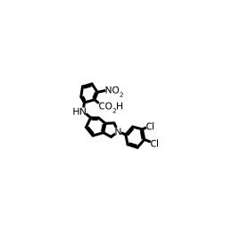 O=C(O)c1c(Nc2ccc3c(c2)CN(c2ccc(Cl)c(Cl)c2)C3)cccc1[N+](=O)[O-]